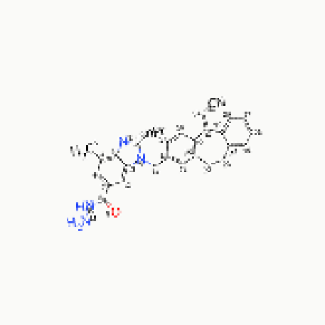 CCCc1nc2c(C)cc(C(=O)NN)cc2n1Cc1ccc2c(c1)CCc1ccccc1/C2=C\C#N